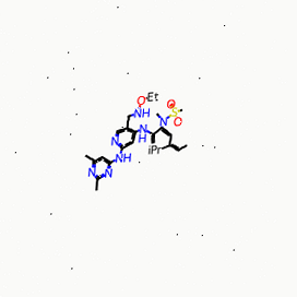 C=C(Nc1cc(Nc2cc(C)nc(C)n2)ncc1CNOCC)/C(=C\C(=C/C)C(C)C)N(C)S(C)(=O)=O